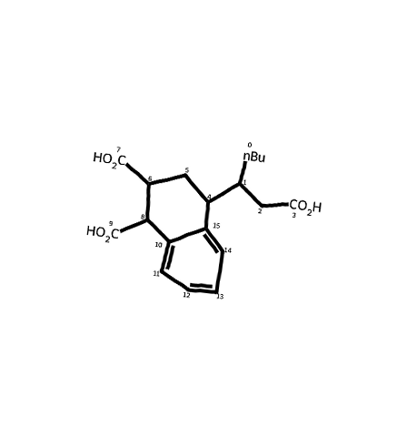 CCCCC(CC(=O)O)C1CC(C(=O)O)C(C(=O)O)c2ccccc21